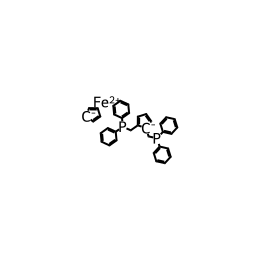 [Fe+2].c1cc[cH-]c1.c1ccc(P(Cc2ccc[c-]2CP(c2ccccc2)c2ccccc2)c2ccccc2)cc1